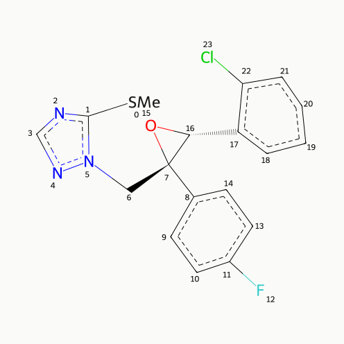 CSc1ncnn1C[C@@]1(c2ccc(F)cc2)O[C@@H]1c1ccccc1Cl